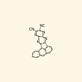 [C-]#[N+]c1nc2nc3c(nc2nc1[N+]#[C-])-c1c2ccccc2cc2cccc-3c12